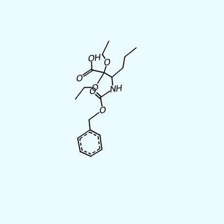 CCCC(NC(=O)OCc1ccccc1)C(OCC)(OCC)C(=O)O